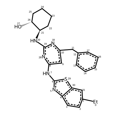 CCc1ccc2nc(Nc3cc(Cc4ccccc4)nc(N[C@@H]4CCCC[C@H]4O)n3)sc2c1